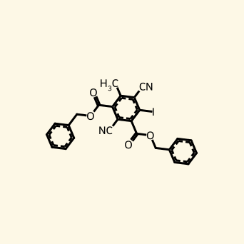 Cc1c(C#N)c(I)c(C(=O)OCc2ccccc2)c(C#N)c1C(=O)OCc1ccccc1